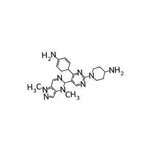 CN1c2cnn(C)c2C=NC1c1cnc(N2CCC(N)CC2)nc1C1C=CC(N)=CC1